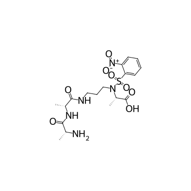 C[C@@H](N)C(=O)N[C@H](C)C(=O)NCCCN([C@@H](C)C(=O)O)S(=O)(=O)c1ccccc1[N+](=O)[O-]